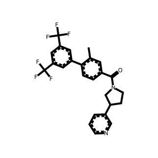 Cc1cc(C(=O)N2CCC(c3cccnc3)C2)ccc1-c1cc(C(F)(F)F)cc(C(F)(F)F)c1